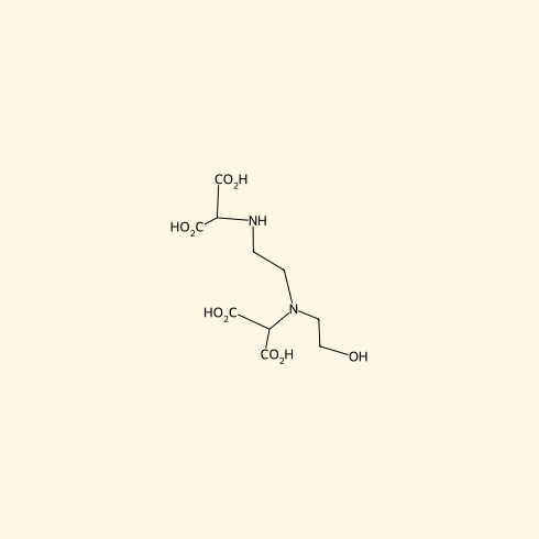 O=C(O)C(NCCN(CCO)C(C(=O)O)C(=O)O)C(=O)O